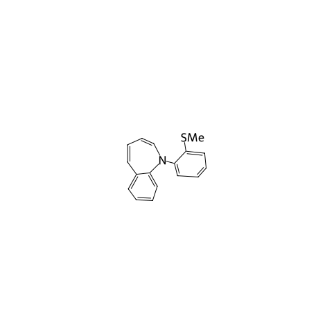 CSc1ccccc1N1C=CC=Cc2ccccc21